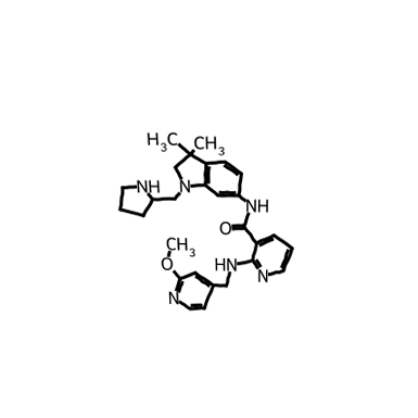 COc1cc(CNc2ncccc2C(=O)Nc2ccc3c(c2)N(CC2CCCN2)CC3(C)C)ccn1